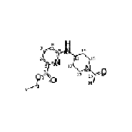 CCOC(=O)c1cccc(NC2CCN(C(C)=O)CC2)n1